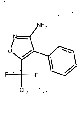 Nc1noc(C(F)(F)C(F)(F)F)c1-c1ccccc1